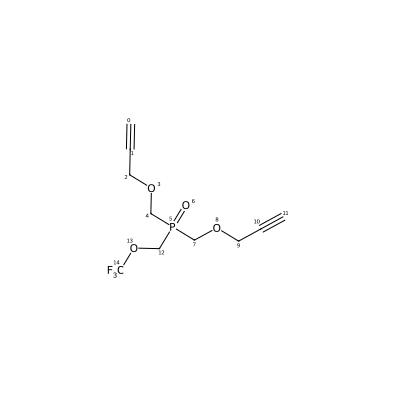 C#CCOCP(=O)(COCC#C)COC(F)(F)F